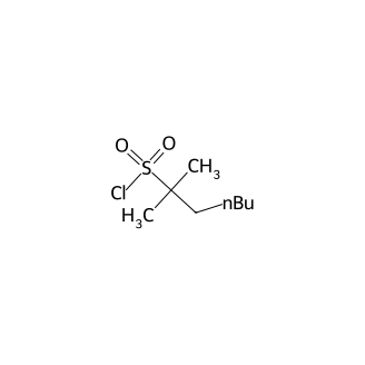 CCCCCC(C)(C)S(=O)(=O)Cl